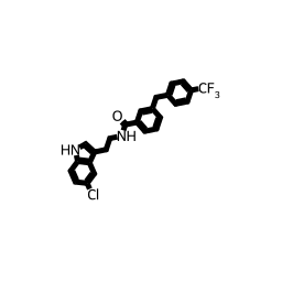 O=C(NCCc1c[nH]c2ccc(Cl)cc12)c1cccc(Cc2ccc(C(F)(F)F)cc2)c1